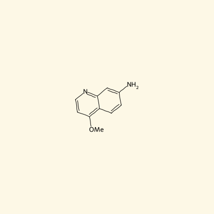 COc1ccnc2cc(N)ccc12